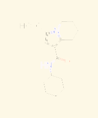 O=C(NC1CCCCC1)c1cc(C(=O)O)n2c1CCCC2